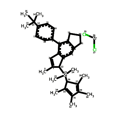 CC1=Cc2c(cc3c(c2-c2ccc(C(C)(C)C)cc2)CCC3)C1[Si](C)(C)C1C(C)=C(C)C(C)=C1C.[Cl][Zr][Cl]